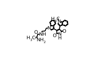 C[C@@H](N)C(=O)NCCCn1cc(C2=C(c3cn(C)c4ccccc34)C(=O)NC2=O)c2ccccc21